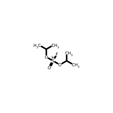 CC(C)O[SH](=O)(F)OC(C)C